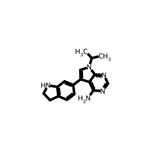 CC(C)n1cc(-c2ccc3c(c2)NCC3)c2c(N)ncnc21